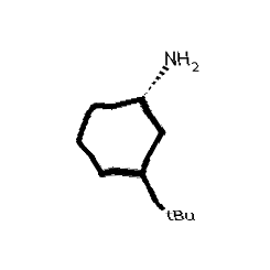 CC(C)(C)C1CCC[C@H](N)C1